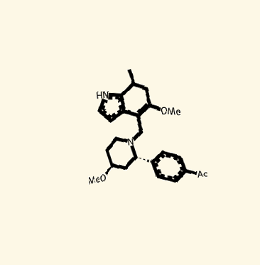 COC1=C(CN2CC[C@H](OC)C[C@H]2c2ccc(C(C)=O)cc2)c2cc[nH]c2C(C)C1